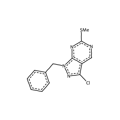 CSc1ncc2c(Cl)nn(Cc3ccccc3)c2n1